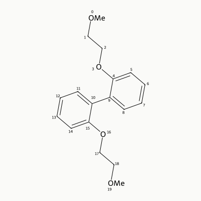 COCCOc1ccccc1-c1ccccc1OCCOC